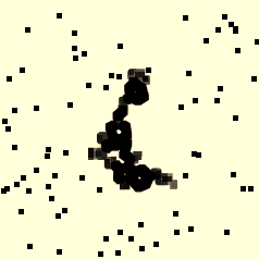 COc1ccc2ncc(Cl)c([C@@H](F)CCC3(CC(=O)O)CCN(CCSc4cccc(C)c4)CC3)c2c1